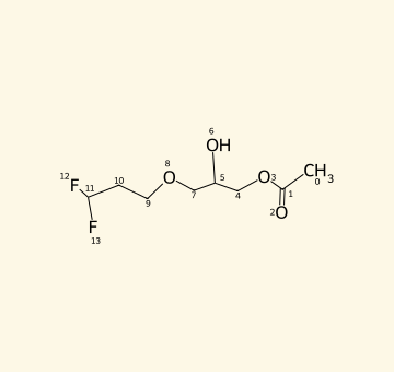 CC(=O)OCC(O)COCCC(F)F